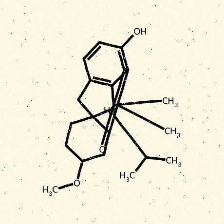 COC1CCC2(CC1)Cc1ccc(O)cc1C21NC(C)(C)N(C(C)C)C1=O